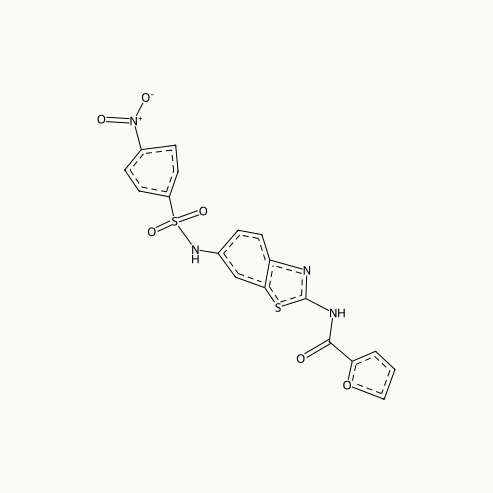 O=C(Nc1nc2ccc(NS(=O)(=O)c3ccc([N+](=O)[O-])cc3)cc2s1)c1ccco1